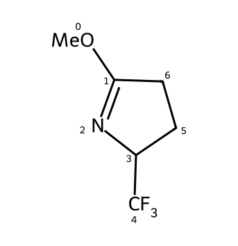 COC1=NC(C(F)(F)F)CC1